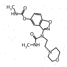 CNC(=O)Oc1ccc2onc(N(CCN3CCOCC3)C(=O)NC)c2c1